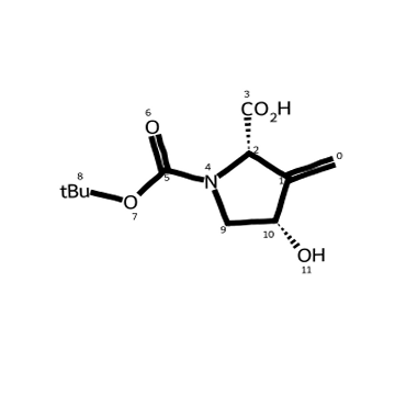 C=C1[C@@H](C(=O)O)N(C(=O)OC(C)(C)C)C[C@H]1O